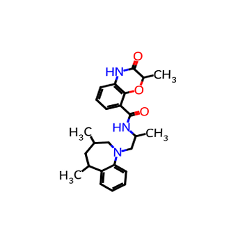 CC1CC(C)c2ccccc2N(CC(C)NC(=O)c2cccc3c2OC(C)C(=O)N3)C1